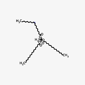 CCCCCCCC/C=C\CCCCCCCC(=O)OC[C@@](N)(COC(=O)CCCCCCCCCCCCCCC)OC(=O)CCCCCCCCCCCCCCC